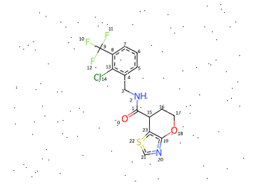 O=C(NCc1cccc(C(F)(F)F)c1Cl)C1CCOc2ncsc21